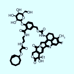 CC[C@@]1(O)C(=O)OCc2c1cc1n(c2=O)Cc2c-1nc1cc(F)c(C)c3c1c2[C@@H](NC(=O)OCc1ccc(O[C@@H]2O[C@H](CO)[C@@H](O)[C@H](O)[C@H]2O)c(C(=O)NCCNC(=O)COC2C#CCCCCC2)c1)CC3